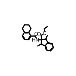 CCOC(=O)C1(NC(=O)c2cccc3c2CCCC3)C(C)c2ccccc2C1C